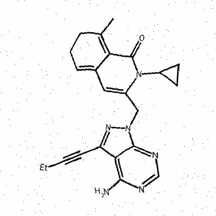 CCC#Cc1nn(Cc2cc3c(c(=O)n2C2CC2)=C(C)CCC=3)c2ncnc(N)c12